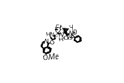 CC[C@@H]1C[C@]1(NC(=O)[C@@H]1CC(Oc2nccc3cc(OC)ccc23)CN1)C(=O)NS(=O)(=O)c1ccccc1